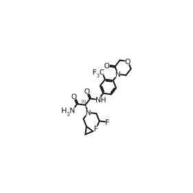 NC(=O)[C@@H](C(=O)Nc1ccc(N2CCOCC2=O)c(C(F)(F)F)c1)N(CC(F)F)CC1CC1